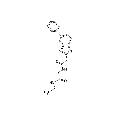 CCNC(=O)CNC(=O)Cc1nc2ccc(-c3ccccc3)cc2s1